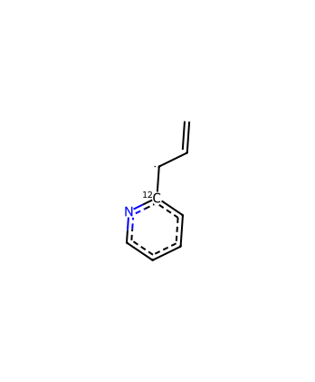 C=C[CH][12c]1ccccn1